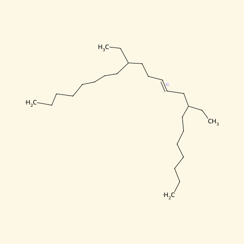 [CH2]CCCCCCCC(CC)CC/C=C/CC(CC)CCCCCC[CH2]